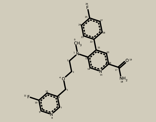 CN(CCOCc1cncc(F)c1)c1cnc(C(N)=O)cc1-c1ccc(F)cc1